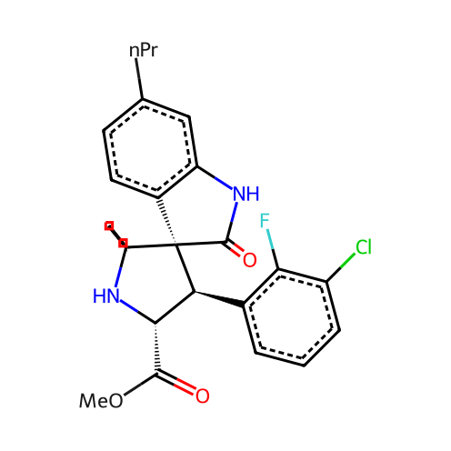 CCCc1ccc2c(c1)NC(=O)[C@]21[C@@H](c2cccc(Cl)c2F)[C@H](C(=O)OC)NC12CCCCC2